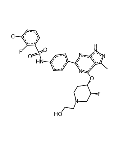 Cc1n[nH]c2nc(-c3ccc(NS(=O)(=O)c4cccc(Cl)c4F)cc3)nc(O[C@@H]3CCN(CCO)C[C@@H]3F)c12